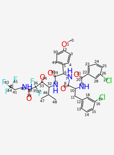 COc1ccc(C(NC(=O)C(Cc2cccc(Cl)c2)NC(=O)c2cccc(Cl)c2)C(=O)NC(C(=O)C(F)(F)C(=O)NCC(F)(F)F)C(C)C)cc1